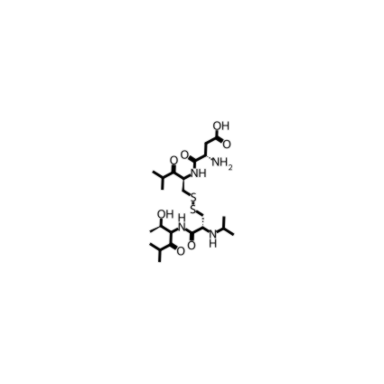 CC(C)N[C@@H](CSSC[C@H](NC(=O)[C@@H](N)CC(=O)O)C(=O)C(C)C)C(=O)NC(C(=O)C(C)C)[C@@H](C)O